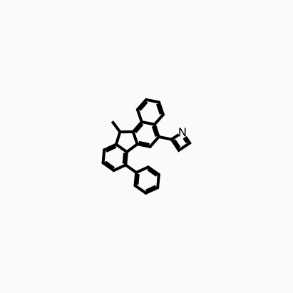 CC1c2cccc(-c3ccccc3)c2-c2cc(C3=CC=N3)c3ccccc3c21